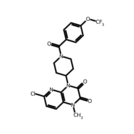 Cn1c(=O)c(=O)n(C2CCN(C(=O)c3ccc(OC(F)(F)F)cc3)CC2)c2nc(Cl)ccc21